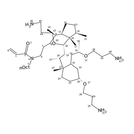 C=CC(=O)N(CCCCCCCC)CCC[C@@H](C)[C@H]1CC[C@@H](C)[C@]1(C)[C@H](C[C@@H](C)[C@@]1(C)CC[C@@H](OCCCN)CC1C[C@H](C)OCCCN)OCCCN